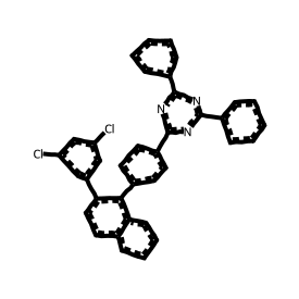 Clc1cc(Cl)cc(-c2ccc3ccccc3c2-c2ccc(-c3nc(-c4ccccc4)nc(-c4ccccc4)n3)cc2)c1